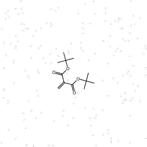 C=C(C(=O)OC(C)(C)C)C(=O)OC(C)(C)C